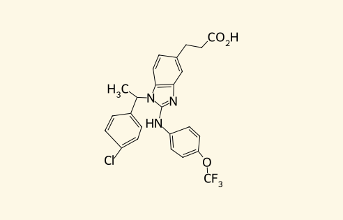 CC(c1ccc(Cl)cc1)n1c(Nc2ccc(OC(F)(F)F)cc2)nc2cc(CCC(=O)O)ccc21